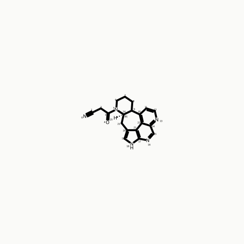 N#CCC(=O)N1CCCC2c3ccnc4cnc5[nH]cc(c5c34)C[C@H]21